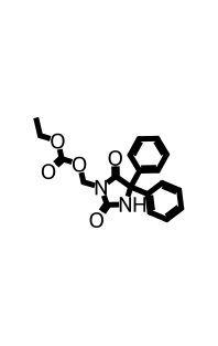 CCOC(=O)OCN1C(=O)NC(c2ccccc2)(c2ccccc2)C1=O